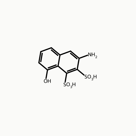 Nc1cc2cccc(O)c2c(S(=O)(=O)O)c1S(=O)(=O)O